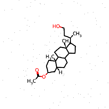 CC(=O)O[C@H]1CC[C@]2(C)C3CC[C@@]4(C)C(CCC4[C@H](C)CCO)C3CC[C@@H]2C1